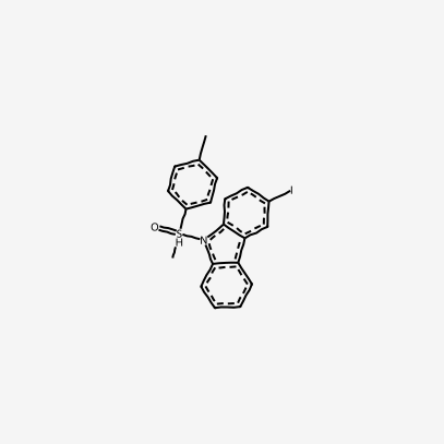 Cc1ccc([SH](C)(=O)n2c3ccccc3c3cc(I)ccc32)cc1